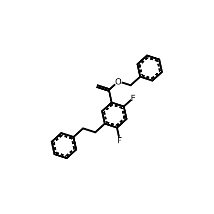 C=C(OCc1ccccc1)c1cc(CCc2ccccc2)c(F)cc1F